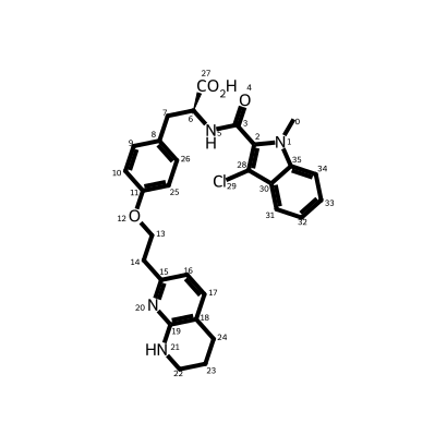 Cn1c(C(=O)N[C@@H](Cc2ccc(OCCc3ccc4c(n3)NCCC4)cc2)C(=O)O)c(Cl)c2ccccc21